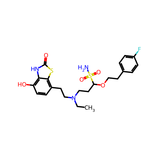 CCN(CCc1ccc(O)c2[nH]c(=O)sc12)CCC(OCCc1ccc(F)cc1)S(N)(=O)=O